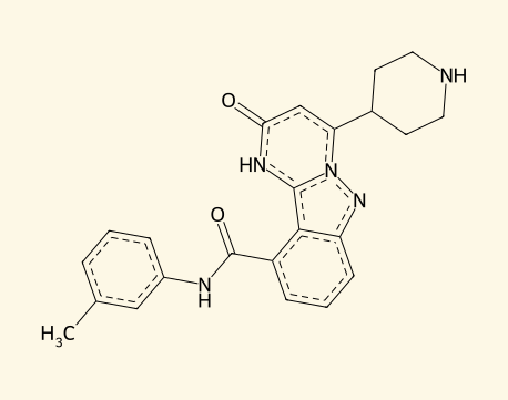 Cc1cccc(NC(=O)c2cccc3nn4c(C5CCNCC5)cc(=O)[nH]c4c23)c1